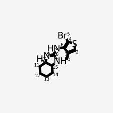 Cc1csc(Br)c1NC1=N[C@@H]2CCCCC2N1